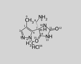 Cc1cnn(C)c1[C@@]1(CN)NC(=O)NC1=O.Cl